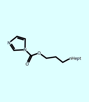 CCCCCCCCCCOC(=O)n1ccnc1